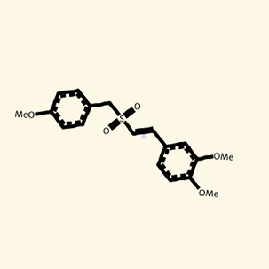 COc1ccc(CS(=O)(=O)/C=C/c2ccc(OC)c(OC)c2)cc1